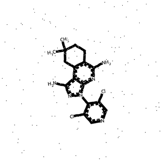 CC1(C)CCc2c(N)nc3c(c(N)nn3-c3c(Cl)cncc3Cl)c2C1